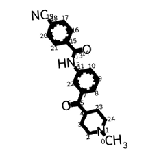 CN1CCC(C(=O)c2cccc(NC(=O)c3ccc(C#N)cc3)c2)CC1